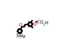 CSc1ccc(C(=O)C=Cc2cc(C)c(OCC(=O)O)c(C)c2)cc1